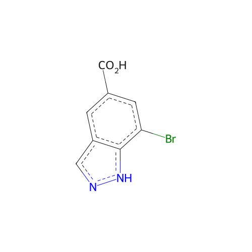 O=C(O)c1cc(Br)c2[nH]ncc2c1